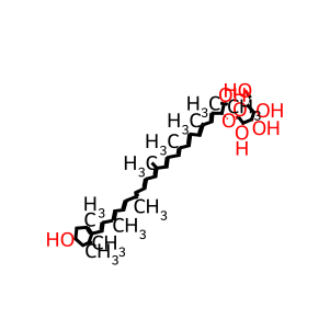 CC1=C(/C=C/C(C)=C/C=C/C(C)=C/C=C/C=C(C)/C=C/C=C(C)/C=C/C=C(C)/C=C/[C@@H](OC2O[C@H](CO)[C@@H](O)[C@H](O)[C@H]2O)C(C)(C)O)C(C)(C)C[C@H](O)C1